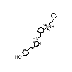 O=S(=O)(NCCN1CCCC1)c1cccc(CNc2ncc(C=Cc3ccc(O)cc3)s2)c1